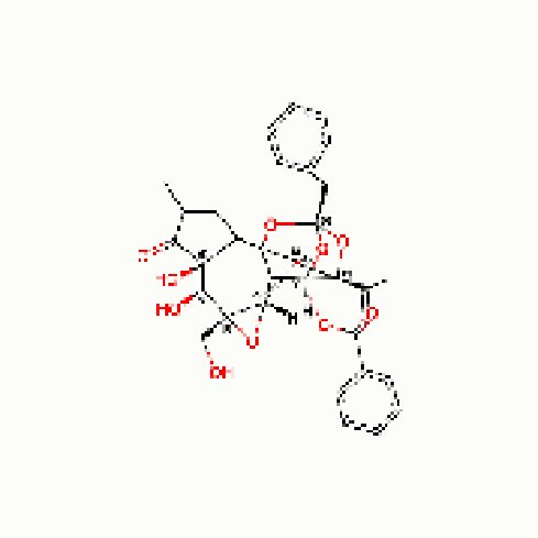 C=C(C)[C@@]12O[C@]3(Cc4ccccc4)O[C@@H]1C1[C@@H]4O[C@]4(CO)[C@@H](O)[C@]4(O)C(=O)C(C)=CC4C1(O3)[C@H](C)[C@H]2OC(=O)c1ccccc1